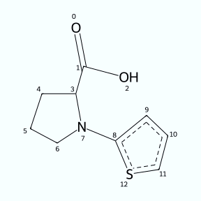 O=C(O)C1CCCN1c1cccs1